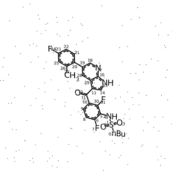 CCCCS(=O)(=O)Nc1c(F)ccc(C(=O)c2c[nH]c3ncc(-c4ccc(F)cc4C)cc23)c1F